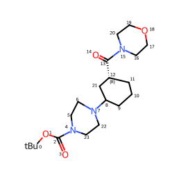 CC(C)(C)OC(=O)N1CCN(C2CCC[C@@H](C(=O)N3CCOCC3)C2)CC1